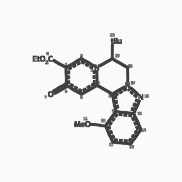 CCOC(=O)c1cn2c(cc1=O)-c1c3c(OC)cccc3nn1CC2C(C)(C)C